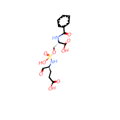 O=C[C@H](CCC(=O)O)NP(=O)(O)OC[C@H](NC(=O)c1ccccc1)C(=O)O